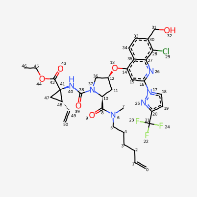 C=CCCCCN(C)C(=O)[C@@H]1C[C@H](Oc2cc(-n3ccc(C(F)(F)F)n3)nc3c(Cl)c(CO)ccc23)CN1C(=O)N[C@]1(C(=O)OCC)C[C@H]1C=C